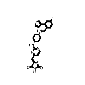 O=C1NC(=O)/C(=C/c2ccnc(N[C@H]3CC[C@H](NCc4ccc(F)cc4-c4ccsc4)CC3)n2)S1